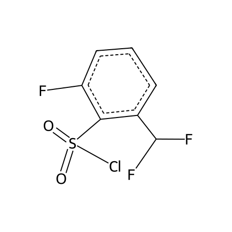 O=S(=O)(Cl)c1c(F)cccc1C(F)F